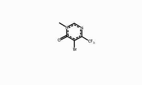 Cn1cnc(C(F)(F)F)c(Br)c1=O